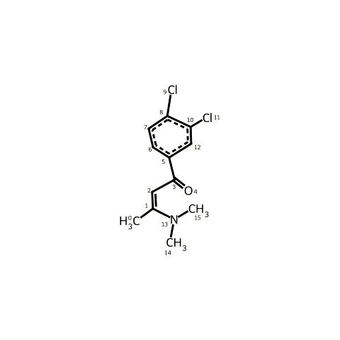 C/C(=C/C(=O)c1ccc(Cl)c(Cl)c1)N(C)C